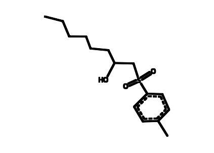 CCCCCCC(O)CS(=O)(=O)c1ccc(C)cc1